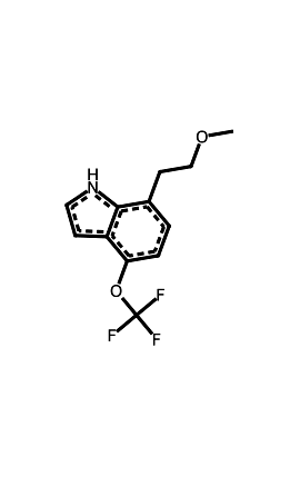 COCCc1ccc(OC(F)(F)F)c2cc[nH]c12